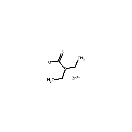 CC[S-](CC)C([O-])=S.[Zn+2]